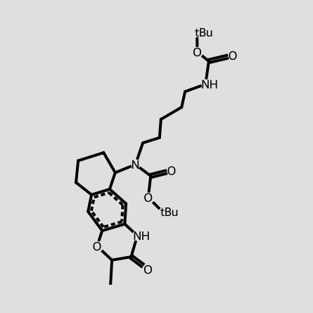 CC1Oc2cc3c(cc2NC1=O)C(N(CCCCCNC(=O)OC(C)(C)C)C(=O)OC(C)(C)C)CCC3